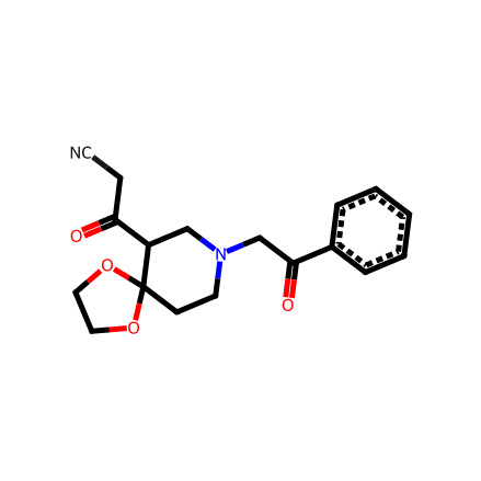 N#CCC(=O)C1CN(CC(=O)c2ccccc2)CCC12OCCO2